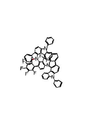 Fc1c(F)c(F)c(-c2ccc(-n3c4ccccc4c4ccc5c(c6ccccc6n5-c5ccccc5)c43)c(C(F)(F)F)c2-n2c3ccccc3c3ccc4c(c5ccccc5n4-c4ccccc4)c32)c(F)c1F